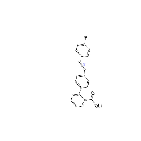 O=C(O)c1ccccc1-c1ccc(/C=N/c2ccc(F)cc2)cc1